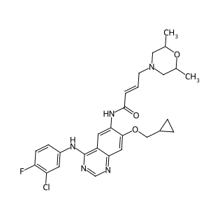 CC1CN(CC=CC(=O)Nc2cc3c(Nc4ccc(F)c(Cl)c4)ncnc3cc2OCC2CC2)CC(C)O1